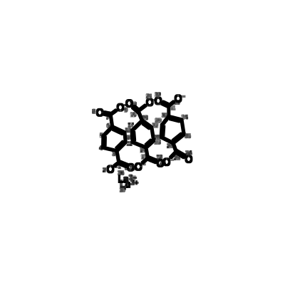 O=C([O-])c1ccc(C(=O)[O-])cc1.O=C([O-])c1ccc(C(=O)[O-])cc1.O=C([O-])c1ccc(C(=O)[O-])cc1.[La+3].[La+3]